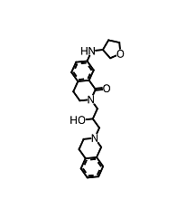 O=C1c2cc(NC3CCOC3)ccc2CCN1CC(O)CN1CCc2ccccc2C1